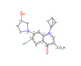 O=C(O)c1cn(C23CC(C2)C3)c2cc(N3CCC(O)C3)c(F)cc2c1=O